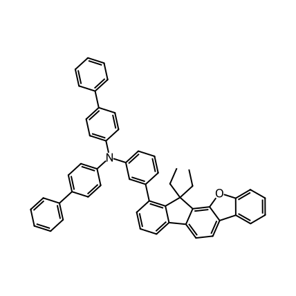 CCC1(CC)c2c(-c3cccc(N(c4ccc(-c5ccccc5)cc4)c4ccc(-c5ccccc5)cc4)c3)cccc2-c2ccc3c(oc4ccccc43)c21